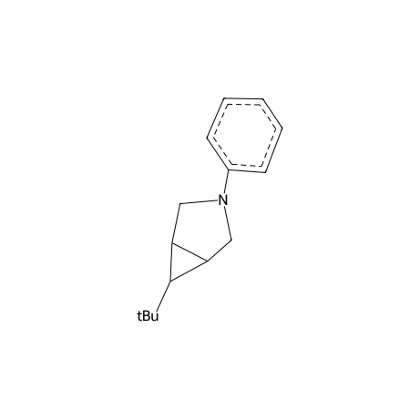 CC(C)(C)C1C2CN(c3ccccc3)CC21